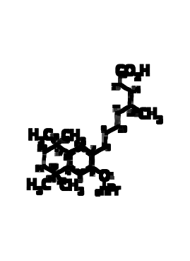 CCCOc1cc2c(cc1/C=C/C=C/C(C)=C\CC(=O)O)C(C)(C)CCC2(C)C